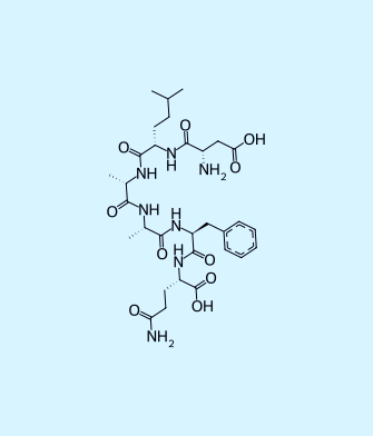 CC(C)CC[C@H](NC(=O)[C@@H](N)CC(=O)O)C(=O)N[C@@H](C)C(=O)N[C@@H](C)C(=O)N[C@@H](Cc1ccccc1)C(=O)N[C@@H](CCC(N)=O)C(=O)O